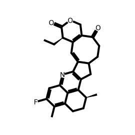 CC[C@H]1C(=O)OCC2=C1/C=C1/c3nc4cc(F)c(C)c5c4c(c3CC1CCC2=O)[C@@H](C)CC5